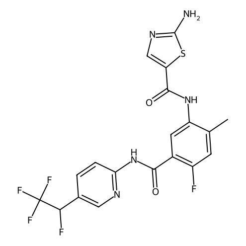 Cc1cc(F)c(C(=O)Nc2ccc(C(F)C(F)(F)F)cn2)cc1NC(=O)c1cnc(N)s1